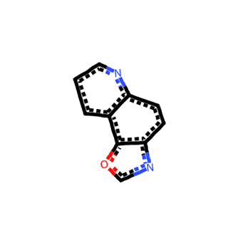 c1cnc2ccc3ncoc3c2c1